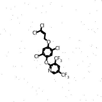 FC(F)(F)c1cnc(Oc2cc(Cl)c(OCC=C(Cl)Cl)cc2Cl)c(C(F)(F)F)c1